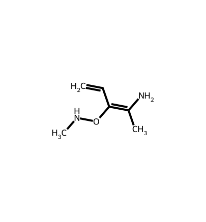 C=C/C(ONC)=C(/C)N